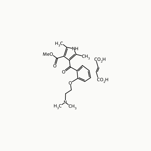 COC(=O)c1c(C)[nH]c(C)c1C(=O)c1ccccc1OCCN(C)C.O=C(O)C=CC(=O)O